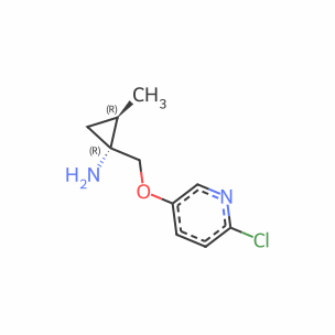 C[C@@H]1C[C@]1(N)COc1ccc(Cl)nc1